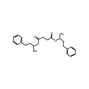 CCCCC(CCc1ccccc1)OC(=O)CCC(=O)OC(CCCC)CCc1ccccc1